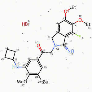 Br.CCOc1cc2c(c(F)c1OCC)C(=N)N(CC(=O)c1cc(NC3CCC3)c(OC)c(C(C)(C)C)c1)C2